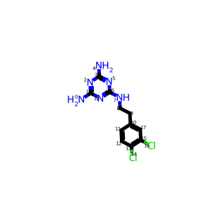 Nc1nc(N)nc(NCCc2ccc(Cl)c(Cl)c2)n1